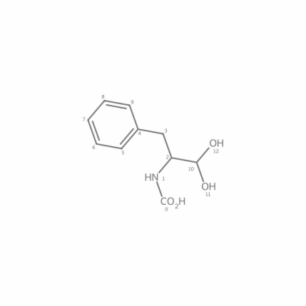 O=C(O)NC(Cc1ccccc1)C(O)O